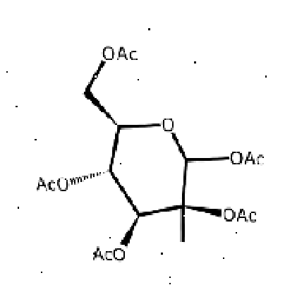 CC(=O)OC[C@H]1OC(OC(C)=O)[C@@](C)(OC(C)=O)[C@@H](OC(C)=O)[C@@H]1OC(C)=O